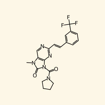 Cn1c(=O)n(C(=O)N2CCCC2)c2nc(C=Cc3cccc(C(F)(F)F)c3)ncc21